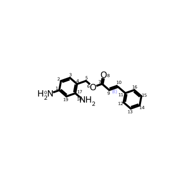 Nc1ccc(COC(=O)/C=C/c2ccccc2)c(N)c1